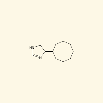 [C]1=NC(C2CCCCCCC2)CN1